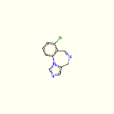 Brc1cccc2c1C=NCc1cncn1-2